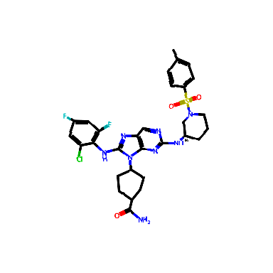 Cc1ccc(S(=O)(=O)N2CCC[C@@H](Nc3ncc4nc(Nc5c(F)cc(F)cc5Cl)n(C5CCC(C(N)=O)CC5)c4n3)C2)cc1